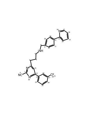 N#Cc1nc(CCCNCc2ccc(-c3ccccn3)cc2)cc(-c2cccc(C(F)(F)F)c2)n1